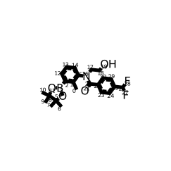 Cc1c(B2OC(C)(C)C(C)(C)O2)cccc1N(CCO)C(=O)c1ccc(C(F)F)cc1